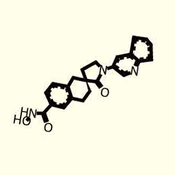 O=C(NO)c1ccc2c(c1)CC[C@]1(CCN(c3cnc4ccccc4c3)C1=O)C2